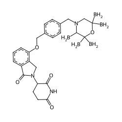 BC1N(Cc2ccc(COc3cccc4c3CN(C3CCC(=O)NC3=O)C4=O)cc2)CC(B)(B)OC1(B)B